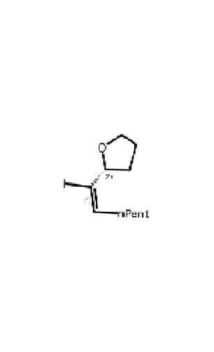 CCCCC/C=C(/I)[C@H]1CCCO1